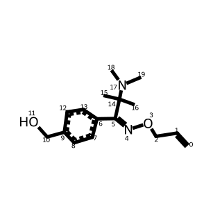 C=CCO/N=C(/c1ccc(CO)cc1)C(C)(C)N(C)C